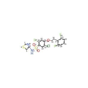 O=S(=O)(Nc1cscn1)c1cc(Cl)c(OCCc2c(F)cccc2F)cc1F